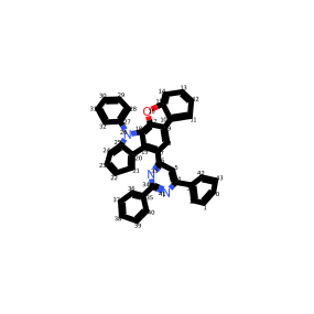 c1ccc(-c2cc(-c3cc4c5ccccc5oc4c4c3c3ccccc3n4-c3ccccc3)nc(-c3ccccc3)n2)cc1